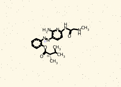 CNCC(=O)Nc1ccc(/N=N/c2ccccc2OC(=O)[C@@H](C)C(C)C)c(N)n1